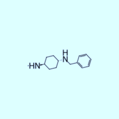 [NH][C@H]1CC[C@H](NCc2ccccc2)CC1